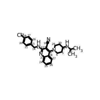 CC(C)NC1CCN(c2c(C#N)c(NCc3ccc(Cl)cc3)nc3ccccc23)CC1